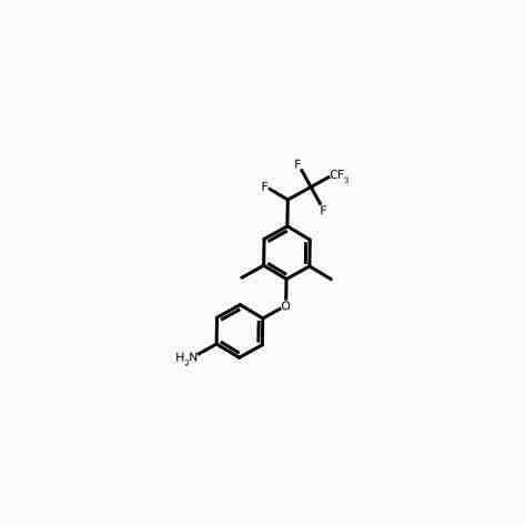 Cc1cc(C(F)C(F)(F)C(F)(F)F)cc(C)c1Oc1ccc(N)cc1